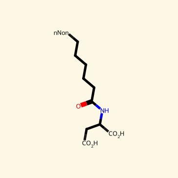 CCCCCCCCCCCCCCC(=O)NC(CC(=O)O)C(=O)O